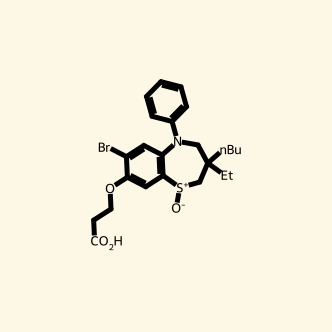 CCCCC1(CC)CN(c2ccccc2)c2cc(Br)c(OCCC(=O)O)cc2[S+]([O-])C1